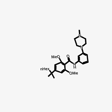 CCCCCCC(C)(C)c1cc(OC)c(C(=O)Nc2cccc(N3CCN(C)CC3)c2)c(OC)c1